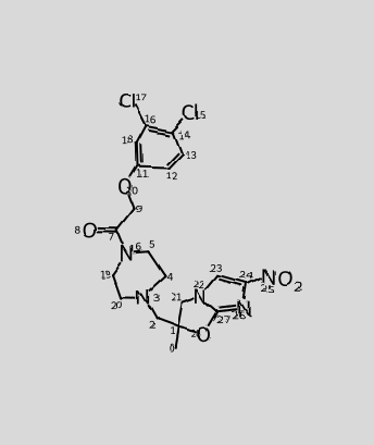 CC1(CN2CCN(C(=O)COc3ccc(Cl)c(Cl)c3)CC2)Cn2cc([N+](=O)[O-])nc2O1